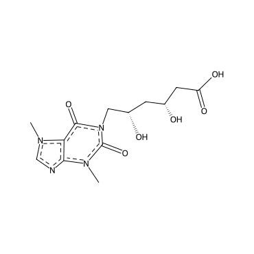 Cn1cnc2c1c(=O)n(C[C@@H](O)C[C@@H](O)CC(=O)O)c(=O)n2C